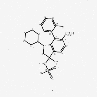 CCC(CCC1CCCCC1)(OS(C)(=O)=O)c1ccc(C(=O)O)c(-c2ccccc2C)c1